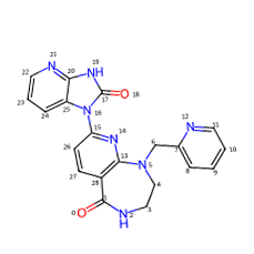 O=C1NCCN(Cc2ccccn2)c2nc(-n3c(=O)[nH]c4ncccc43)ccc21